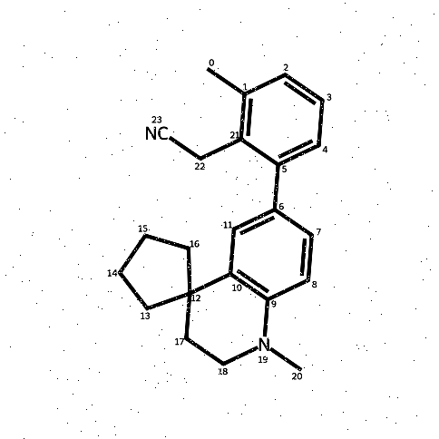 Cc1cccc(-c2ccc3c(c2)C2(CCCC2)CCN3C)c1CC#N